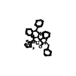 CCOC(=O)C(NC(c1ccccc1)c1ccccc1)[C@]1(OCc2cccs2)C(=O)N(Cc2ccccc2)c2ccccc21